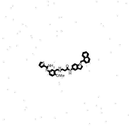 COc1ccc(N=C(N)c2cccs2)cc1CNCCC(=O)Nc1ccc2c(c1)CCN2Cc1cccc2ccccc12